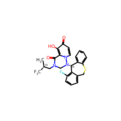 C[C@@H](CN1CN([C@@H]2c3ccccc3SCc3cccc(F)c32)n2ccc(=O)c(O)c2C1=O)C(F)(F)F